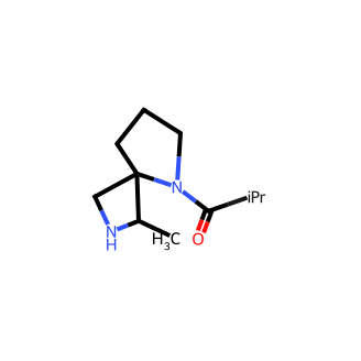 CC(C)C(=O)N1CCCC12CNC2C